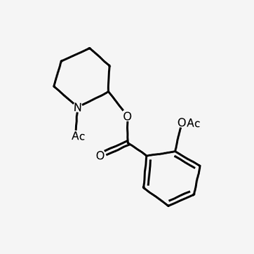 CC(=O)Oc1ccccc1C(=O)OC1CCCCN1C(C)=O